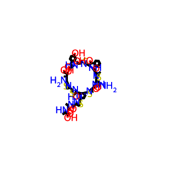 C=C(NC(=O)C(=C)NC(=O)c1csc(-c2ccc3c([n+]2[O-])-c2csc(n2)-c2csc(n2)C(N)C(C)C(CO)OC(=O)C(Cc2ccc(O)cc2)NC(=O)c2csc(n2)C(C(O)c2ccccc2)NC(=O)c2nc(sc2C)C(CC(N)=O)NC(=O)c2csc-3n2)n1)C(=O)O